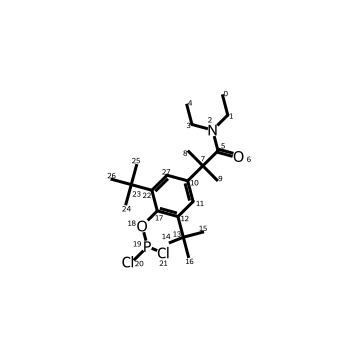 CCN(CC)C(=O)C(C)(C)c1cc(C(C)(C)C)c(OP(Cl)Cl)c(C(C)(C)C)c1